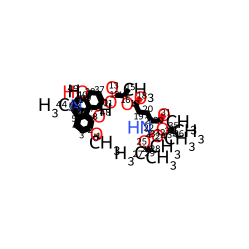 COc1ccc2c3c1O[C@H]1C(OC(=O)C(C)OC(=O)CCC(NC(=O)OC(C)(C)C)C(=O)OC(C)(C)C)=CC[C@@]4(O)[C@@H](C2)N(C)CC[C@]314